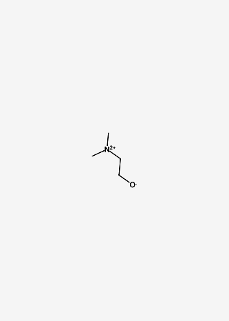 C[N+2](C)CC[O]